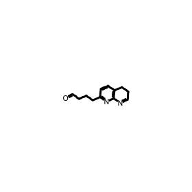 O=CCCCc1ccc2c(n1)N=CCC2